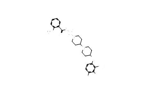 COc1ccccc1C(=O)NS(=O)(=O)N1CCC(N2CCC(Oc3ccc(Cl)c(Cl)c3C)CC2)CC1